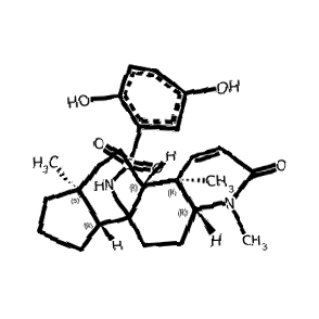 CN1C(=O)C=C[C@@]2(C)[C@H]1CCC1(NS(=O)(=O)c3cc(O)ccc3O)[C@@H]3CCC[C@@]3(C)CC[C@@H]12